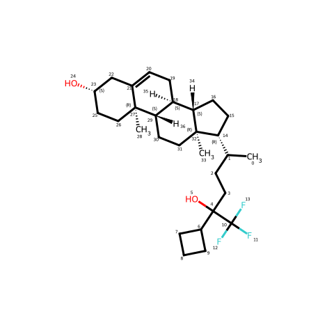 CC(CCC(O)(C1CCC1)C(F)(F)F)[C@H]1CC[C@H]2[C@@H]3CC=C4C[C@@H](O)CC[C@]4(C)[C@H]3CC[C@]12C